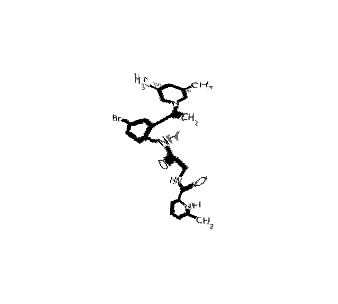 C=C(c1cc(Br)ccc1NC(=O)CNC(=O)C1C=CC=C(C)N1)N1C[C@H](C)C[C@H](C)C1